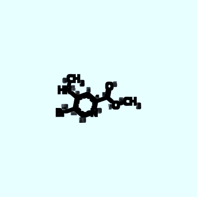 CNc1cc(C(=O)OC)ncc1Br